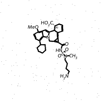 COc1ccc(C2CCCCC2)c2c1cc1n2CC2=C(C(=O)NS(=O)(=O)N(C)CCCCN)C2=C2C=CC[C@@H](C(=O)O)C21